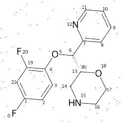 Fc1ccc(OC(c2ccccn2)[C@H]2CNCCO2)c(F)c1